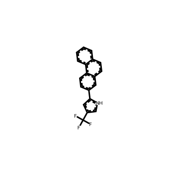 FC(F)(F)c1c[nH]c(-c2ccc3c(ccc4ccccc43)c2)c1